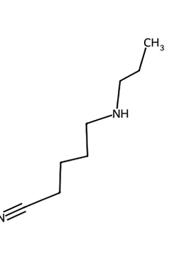 CCCNCCCCC#N